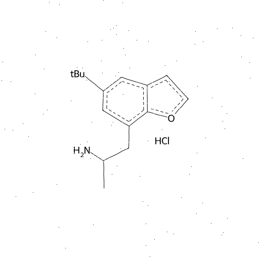 CC(N)Cc1cc(C(C)(C)C)cc2ccoc12.Cl